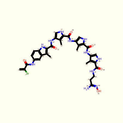 C=C(Br)C(=O)Nc1ccc2[nH]c(C(=O)Nc3c[nH]c(C(=O)Nc4c[nH]c(C(=O)Nc5c[nH]c(C(=O)NCCC(N)=NO)c5C)c4C)c3C)c(C)c2c1